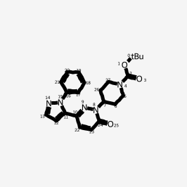 CC(C)(C)OC(=O)N1CCC(n2nc(-c3ccnn3-c3ccccc3)ccc2=O)CC1